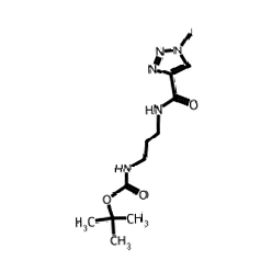 CC(C)(C)OC(=O)NCCCNC(=O)c1cn(I)nn1